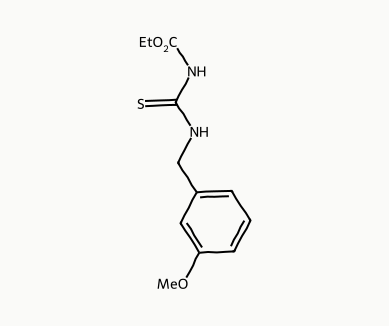 CCOC(=O)NC(=S)NCc1cccc(OC)c1